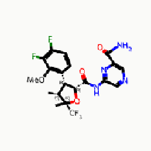 COc1c([C@@H]2[C@H](C(=O)Nc3cncc(C(N)=O)n3)O[C@@](C)(C(F)(F)F)[C@H]2C)ccc(F)c1F